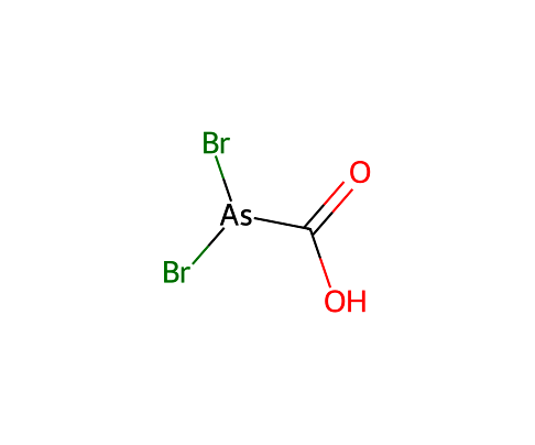 O=C(O)[As](Br)Br